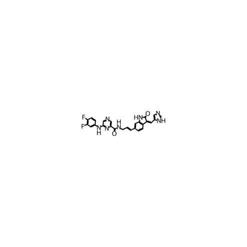 O=C1Nc2cc(C=CCNC(=O)c3cncc(Nc4ccc(F)c(F)c4)n3)ccc2C1=Cc1cnc[nH]1